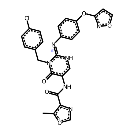 Cc1ocnc1C(=O)Nc1c[nH]/c(=N\c2ccc(Oc3ccon3)cc2)n(Cc2ccc(Cl)cc2)c1=O